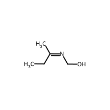 CC/C(C)=N\CO